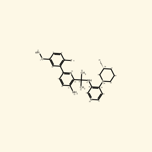 CCCOc1ccc(F)c(-c2ccc(N)c(C(C)(C)Nc3cnccc3N3CCC[C@@H](I)C3)n2)c1